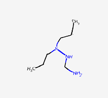 C[CH]CN(CCC)NCN